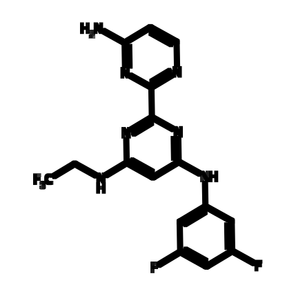 Nc1ccnc(-c2nc(NCC(F)(F)F)cc(Nc3cc(F)cc(F)c3)n2)n1